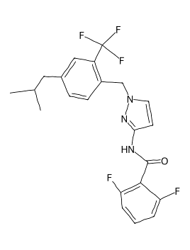 CC(C)Cc1ccc(Cn2ccc(NC(=O)c3c(F)cccc3F)n2)c(C(F)(F)F)c1